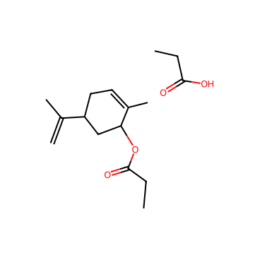 C=C(C)C1CC=C(C)C(OC(=O)CC)C1.CCC(=O)O